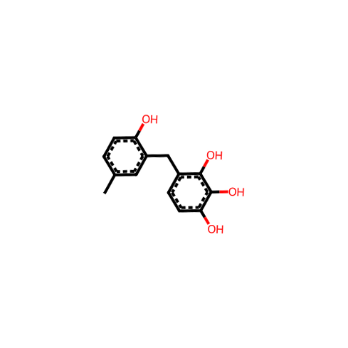 Cc1ccc(O)c(Cc2ccc(O)c(O)c2O)c1